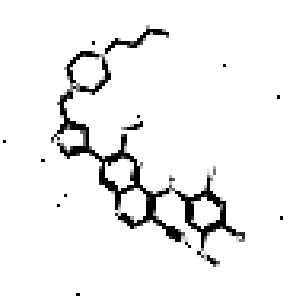 CCCCN1CCN(Cc2cc(-c3cc4ncc(C#N)c(Nc5cc(OC)c(Cl)cc5Cl)c4cc3OC)co2)CC1